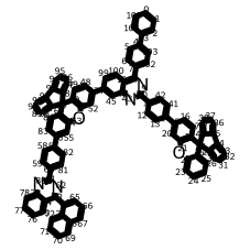 c1ccc(-c2ccc(-c3nc(-c4ccc(-c5ccc6c(c5)Oc5ccccc5C65c6ccccc6-c6ccccc65)cc4)nc4cc(-c5ccc6c(c5)Oc5cc(-c7ccc(-c8nc(-c9cccc%10ccccc9%10)c9ccccc9n8)cc7)ccc5C65c6ccccc6-c6ccccc65)ccc34)cc2)cc1